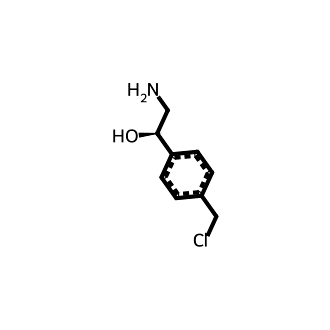 NC[C@H](O)c1ccc(CCl)cc1